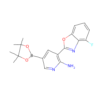 CC1(C)OB(c2cnc(N)c(-c3nc4c(F)cccc4o3)c2)OC1(C)C